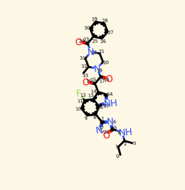 CCC(C)Nc1nc(-c2ccc(F)c3c(C(=O)C(=O)N4CCN(C(=O)c5ccccc5)CC4C)c[nH]c23)no1